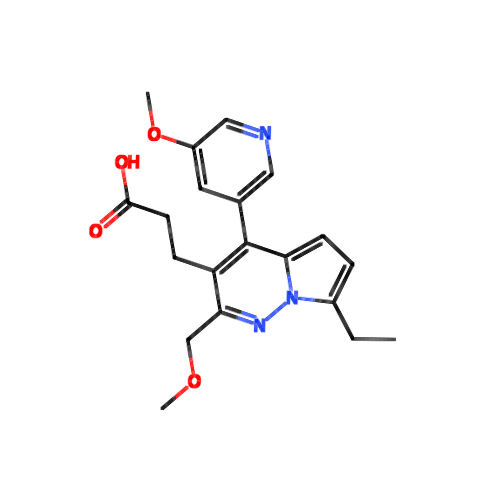 CCc1ccc2c(-c3cncc(OC)c3)c(CCC(=O)O)c(COC)nn12